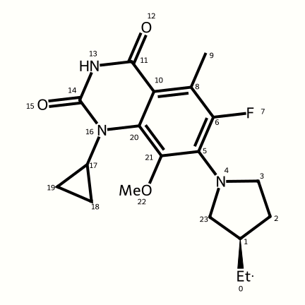 C[CH][C@@H]1CCN(c2c(F)c(C)c3c(=O)[nH]c(=O)n(C4CC4)c3c2OC)C1